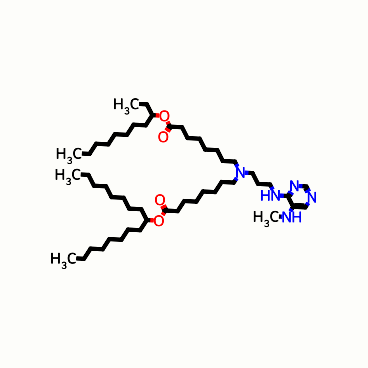 CCCCCCCCC(CC)OC(=O)CCCCCCCN(CCCCCCCC(=O)OC(CCCCCCCC)CCCCCCCC)CCCNc1ncncc1NC